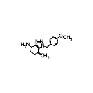 C=C1CCC(N)c2nnn(Cc3ccc(OC)cc3)c21